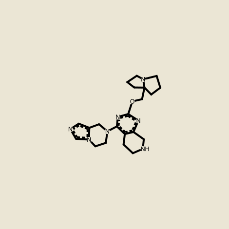 c1ncn2c1CN(c1nc(OCC34CCCN3CCC4)nc3c1CCNC3)CC2